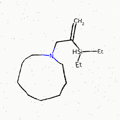 C=C(CN1CCCCCCCC1)[SiH](CC)CC